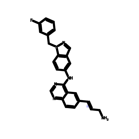 NC/C=C/c1ccc2ncnc(Nc3ccc4c(cnn4Cc4cccc(F)c4)c3)c2c1